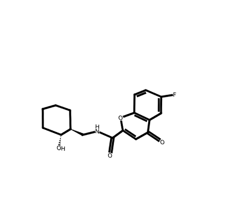 O=C(NC[C@@H]1CCCC[C@H]1O)c1cc(=O)c2cc(F)ccc2o1